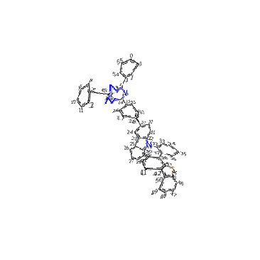 c1ccc(-c2nc(-c3ccccc3)nc(-c3ccc(-c4ccc5c(c4)c4ccccc4n5-c4ccccc4-c4cccc5c4sc4ccccc45)cc3)n2)cc1